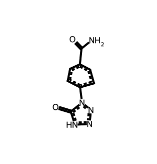 NC(=O)c1ccc(-n2nn[nH]c2=O)cc1